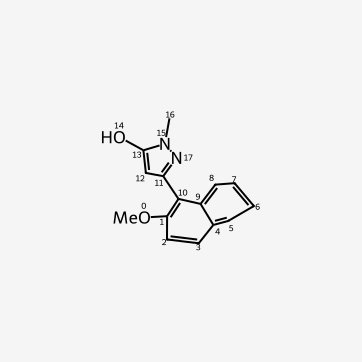 COc1ccc2ccccc2c1-c1cc(O)n(C)n1